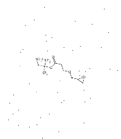 O=C(CCOCC1CO1)OC(CS(=O)(=O)O)(C(F)(F)F)C(F)(F)F